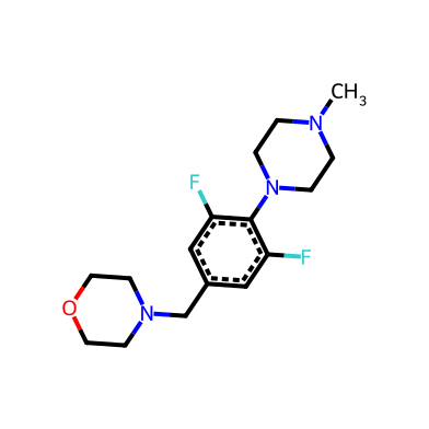 CN1CCN(c2c(F)cc(CN3CCOCC3)cc2F)CC1